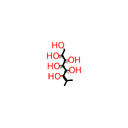 CC(C)=C(O)[C@H](O)[C@H](O)[C@@H](O)[C@H](O)CO